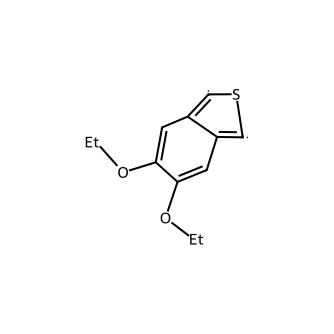 CCOc1cc2[c]s[c]c2cc1OCC